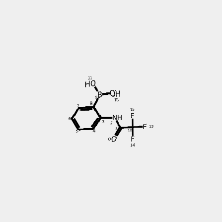 O=C(Nc1ccccc1B(O)O)C(F)(F)F